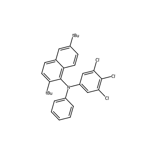 CC(C)(C)c1ccc2c(N(c3ccccc3)c3cc(Cl)c(Cl)c(Cl)c3)c(C(C)(C)C)ccc2c1